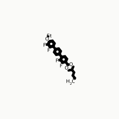 C=CCCC1COC(c2ccc(-c3ccc(-c4ccc(OCC)c(F)c4F)cc3)c(F)c2F)OC1